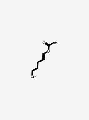 CCCC(=O)OC=CCCCO